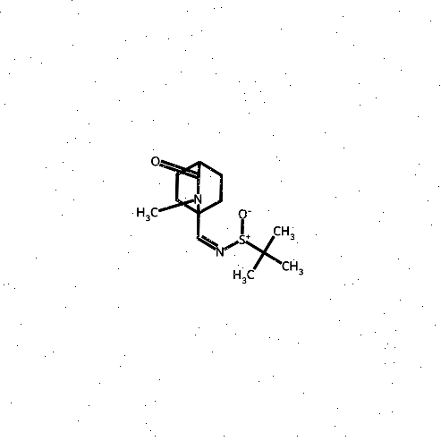 CN1C(=O)C2CCC1(/C=N\[S+]([O-])C(C)(C)C)CC2